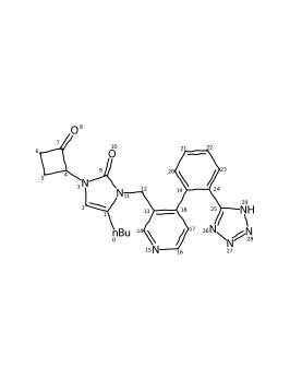 CCCCc1cn(C2CCC2=O)c(=O)n1Cc1cnccc1-c1ccccc1-c1nnn[nH]1